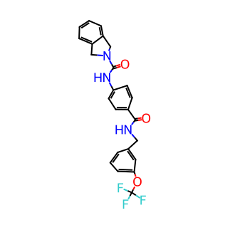 O=C(NCc1cccc(OC(F)(F)F)c1)c1ccc(NC(=O)N2Cc3ccccc3C2)cc1